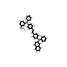 Cc1cccc(N(c2ccccc2)c2ccc(/C=C/c3ccc(N(c4ccccc4)c4ccc5ccccc5c4)cc3)cc2)c1